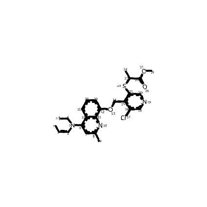 C/C=C\N(CI)c1cc(C)nc2c(OCc3c(Cl)cncc3SC(C)C(=O)OC)cccc12